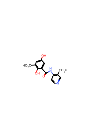 O=C(O)c1cnccc1NC(=O)c1cc(O)cc(C(=O)O)c1O